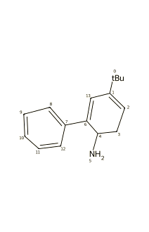 CC(C)(C)C1=CCC(N)C(c2ccccc2)=C1